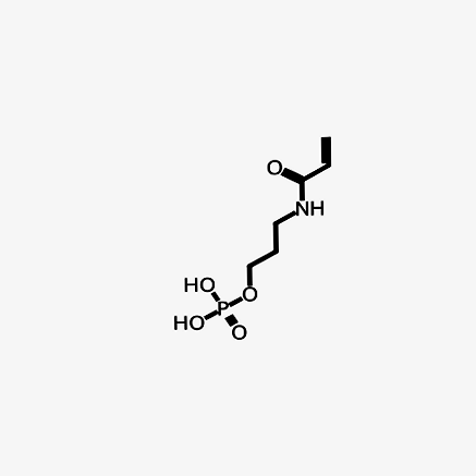 C=CC(=O)NCCCOP(=O)(O)O